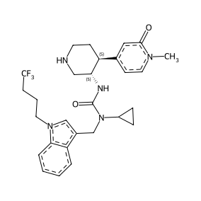 Cn1ccc([C@@H]2CCNC[C@H]2NC(=O)N(Cc2cn(CCCC(F)(F)F)c3ccccc23)C2CC2)cc1=O